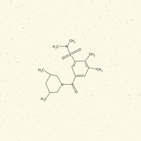 Cc1cc(C(=O)N2CC(C)CC(C)C2)cc(S(=O)(=O)N(C)C)c1C